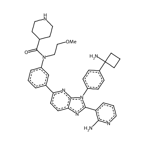 COCCN(C(=O)C1CCNCC1)c1cccc(-c2ccc3nc(-c4cccnc4N)n(-c4ccc(C5(N)CCC5)cc4)c3n2)c1